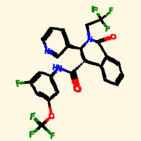 O=C(Nc1cc(F)cc(OC(F)(F)F)c1)[C@H]1c2ccccc2C(=O)N(CC(F)(F)F)[C@@H]1c1cccnc1